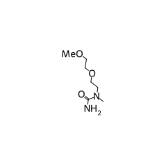 COCCOCCN(C)C(N)=O